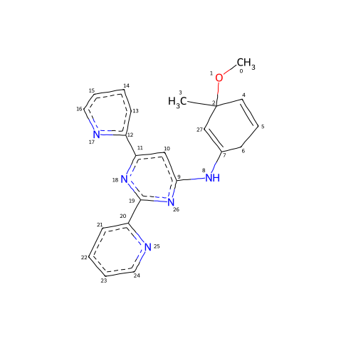 COC1(C)C=CCC(Nc2cc(-c3ccccn3)nc(-c3ccccn3)n2)=C1